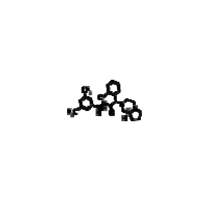 O=C(NNc1cc(C(F)(F)F)cc(C(F)(F)F)c1)C(c1ccccc1Cl)N1CCN2CCC[C@H]2C1